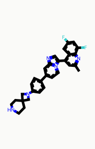 Cc1cc(-c2cnc3cc(-c4ccc(N5CC6(CCNCC6)C5)cc4)ccn23)c2cc(F)cc(F)c2n1